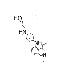 C=Cc1cncc2cccc(NC3CCC(NCCCO)CC3)c12